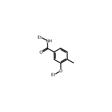 CCNC(=O)c1ccc(C)c(OCC)c1